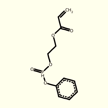 C=CC(=O)OCCO[PH](=O)Oc1ccccc1